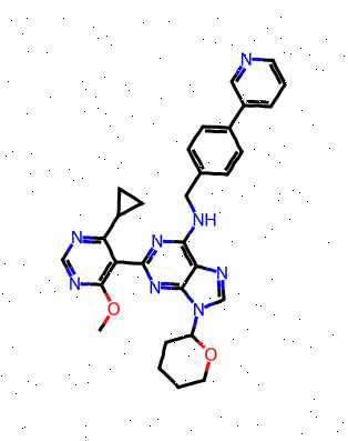 COc1ncnc(C2CC2)c1-c1nc(NCc2ccc(-c3cccnc3)cc2)c2ncn(C3CCCCO3)c2n1